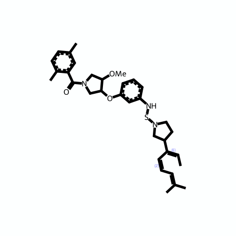 C/C=C(\C=C/C=C(C)C)C1CCN(SNc2cccc(OC3CN(C(=O)c4cc(C)ccc4C)CC3OC)c2)C1